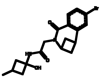 CC1CC(O)(NC(=O)CN2C(=O)c3ccc(Br)cc3C3CC2C3)C1